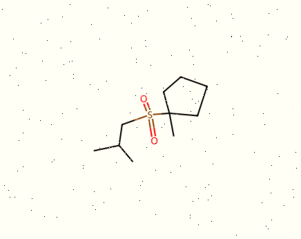 CC(C)CS(=O)(=O)C1(C)CCCC1